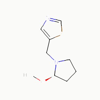 CO[C@@H]1CCCN1Cc1cncs1